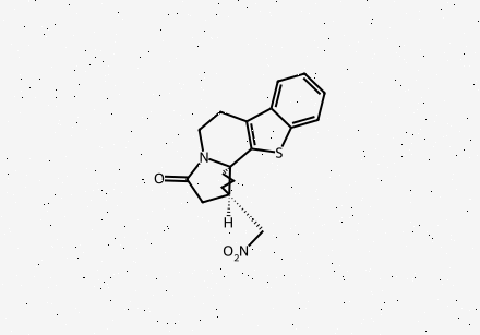 O=C1C[C@H]2[C@H](C[N+](=O)[O-])CC[C@]23c2sc4ccccc4c2CCN13